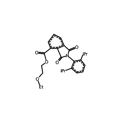 CCOCCOC(=O)c1cccc2c1C(=O)N(c1c(C(C)C)cccc1C(C)C)C2=O